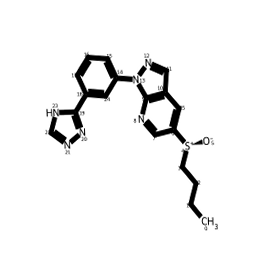 CCCC[S@+]([O-])c1cnc2c(cnn2-c2cccc(-c3nnc[nH]3)c2)c1